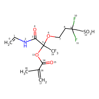 C=CNC(=O)C(OCCC(F)(F)S(=O)(=O)O)(OC(=O)C(=C)C)C(F)(F)F